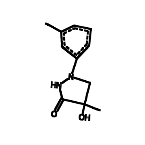 Cc1cccc(N2CC(C)(O)C(=O)N2)c1